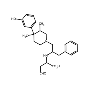 CC1CN(CC(Cc2ccccc2)NC(CC=O)C(=O)O)CCC1(C)c1cccc(O)c1